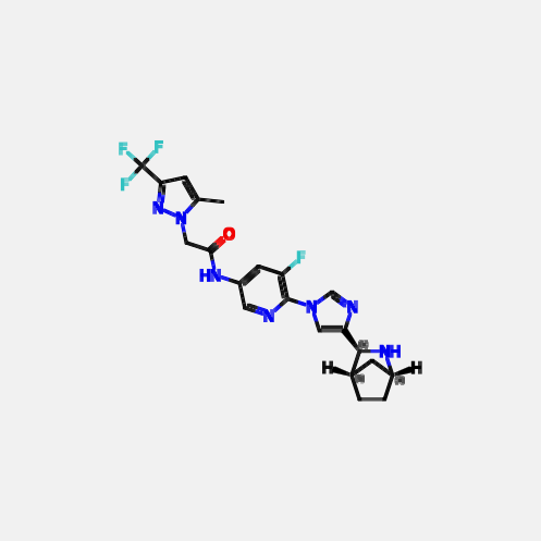 Cc1cc(C(F)(F)F)nn1CC(=O)Nc1cnc(-n2cnc([C@H]3N[C@@H]4CC[C@H]3C4)c2)c(F)c1